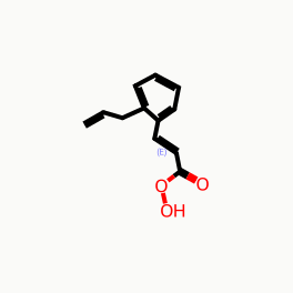 C=CCc1ccccc1/C=C/C(=O)OO